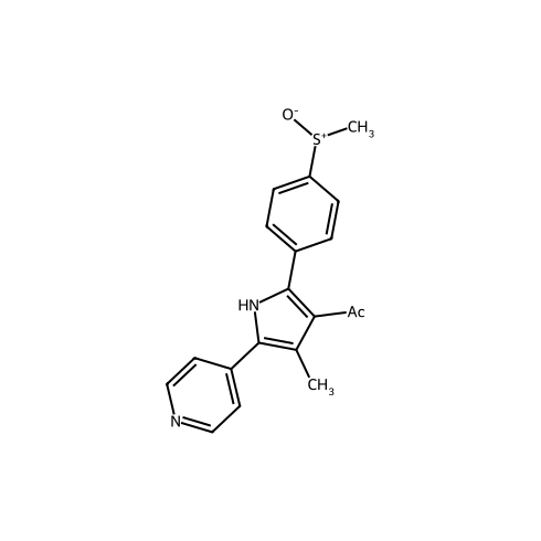 CC(=O)c1c(-c2ccc([S+](C)[O-])cc2)[nH]c(-c2ccncc2)c1C